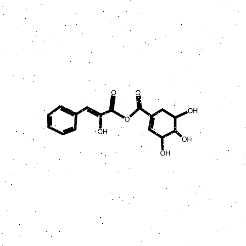 O=C(OC(=O)C1=CC(O)C(O)C(O)C1)C(O)=Cc1ccccc1